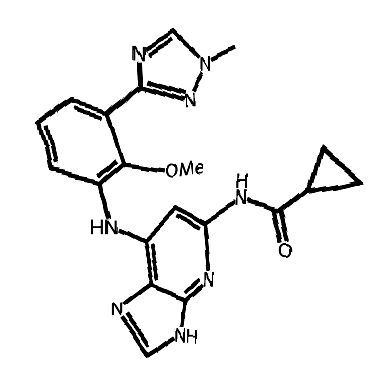 COc1c(Nc2cc(NC(=O)C3CC3)nc3[nH]cnc23)cccc1-c1ncn(C)n1